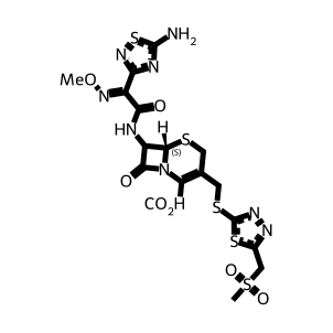 CON=C(C(=O)NC1C(=O)N2C(C(=O)O)=C(CSc3nnc(CS(C)(=O)=O)s3)CS[C@@H]12)c1nsc(N)n1